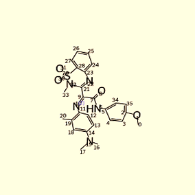 COc1ccc(NC(=O)/C(=N\c2ccc(N(C)C)cc2C)C2=Nc3ccccc3S(=O)(=O)N2C)cc1